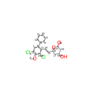 COc1c(Cl)cc(-c2ccccc2)c(C=CC2CC(O)CC(=O)O2)c1Cl